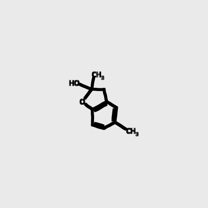 Cc1ccc2c(c1)CC(C)(O)O2